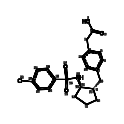 O=C(O)Cc1ccc(C[C@@H]2CCC[C@H]2NS(=O)(=O)c2ccc(Cl)cc2)cc1